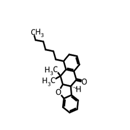 CCCCCCC1CC=CC2=C1C(C)(C)C1Oc3ccccc3[C@@H]1C2=O